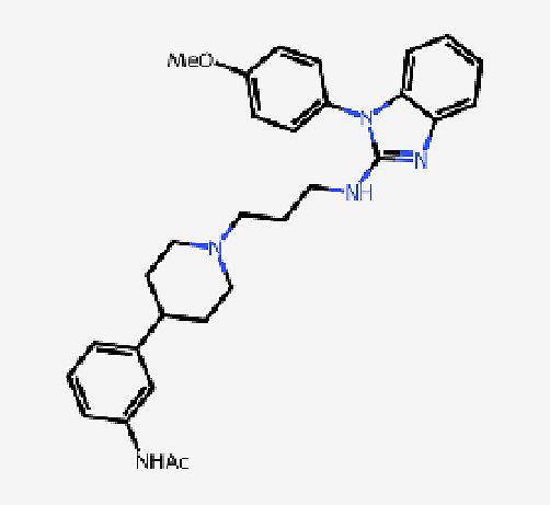 COc1ccc(-n2c(NCCCN3CCC(c4cccc(NC(C)=O)c4)CC3)nc3ccccc32)cc1